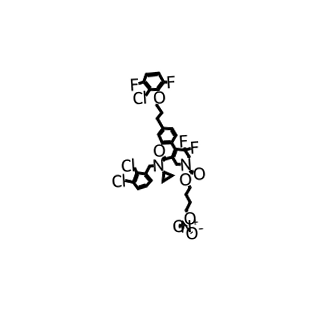 O=C(OCCCCO[N+](=O)[O-])N1CC(C(=O)N(Cc2cccc(Cl)c2Cl)C2CC2)=C(c2ccc(CCCOc3c(F)ccc(F)c3Cl)cc2)C(F)(F)C1